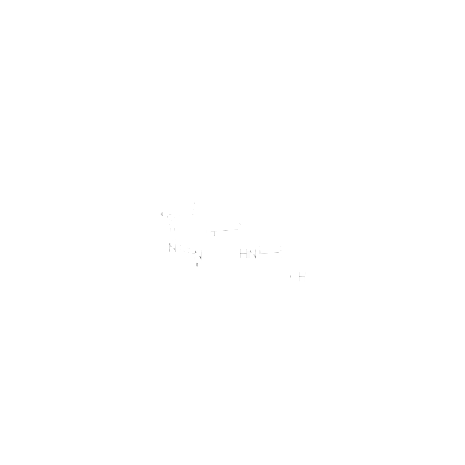 CCNCc1csnn1